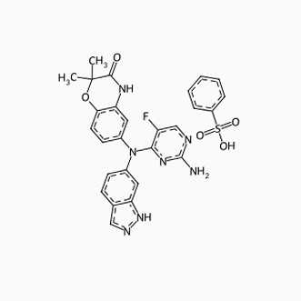 CC1(C)Oc2ccc(N(c3ccc4cn[nH]c4c3)c3nc(N)ncc3F)cc2NC1=O.O=S(=O)(O)c1ccccc1